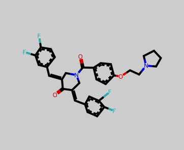 O=C1/C(=C/c2ccc(F)c(F)c2)CN(C(=O)c2ccc(OCCN3CCCC3)cc2)C/C1=C\c1ccc(F)c(F)c1